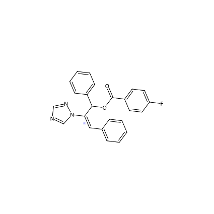 O=C(OC(/C(=C\c1ccccc1)n1cncn1)c1ccccc1)c1ccc(F)cc1